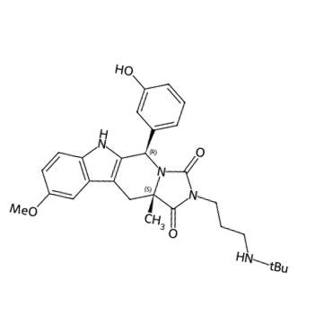 COc1ccc2[nH]c3c(c2c1)C[C@@]1(C)C(=O)N(CCCNC(C)(C)C)C(=O)N1[C@@H]3c1cccc(O)c1